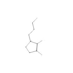 CCCCC1CCC(C)C1[SiH3]